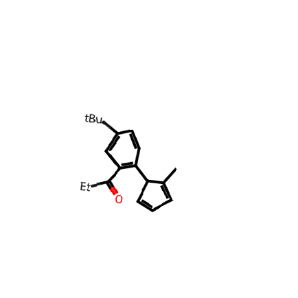 CCC(=O)c1cc(C(C)(C)C)ccc1C1C=CC=C1C